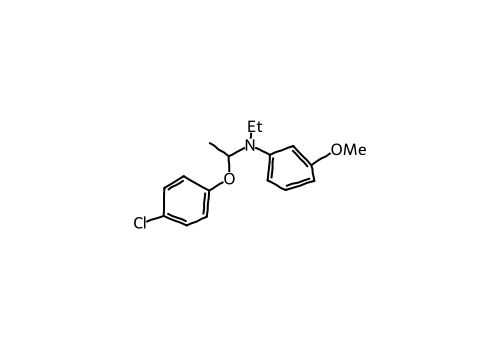 CCN(c1cccc(OC)c1)C(C)Oc1ccc(Cl)cc1